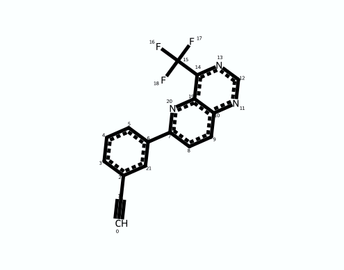 C#Cc1cccc(-c2ccc3ncnc(C(F)(F)F)c3n2)c1